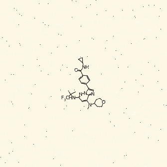 CN(c1cc(NC(C)(C)C(F)(F)F)nn2c(-c3ccc(C(=O)NC4CC4)cc3)cnc12)C1CCOCC1